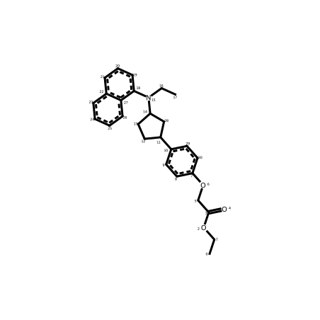 CCOC(=O)COc1ccc(C2CCC(N(CC)c3cccc4ccccc34)C2)cc1